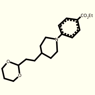 CCOC(=O)c1ccc(N2CCC(CCC3OCCCO3)CC2)cc1